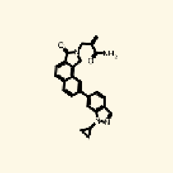 C=C(CN1Cc2c(ccc3ccc(-c4ccc5cnn(C6CC6)c5c4)cc23)C1=O)C(N)=O